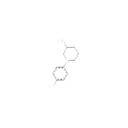 NC1CCCN(c2ccc(Br)cc2)C1